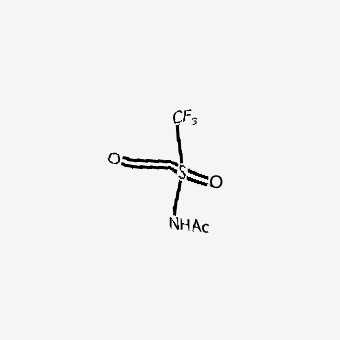 CC(=O)NS(=O)(=O)C(F)(F)F